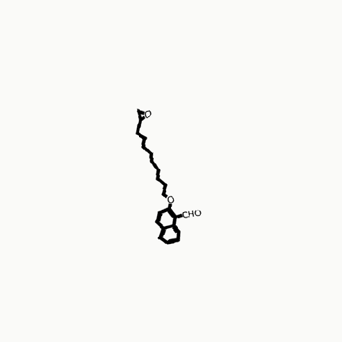 O=Cc1c(OCCCCCCCCCC2CO2)ccc2ccccc12